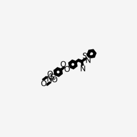 N#C/C(=C\c1ccc(OC(=O)c2ccc(S(=O)(=O)N3CCOCC3)cc2)cc1)c1nc2ccccc2s1